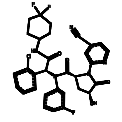 N#Cc1ccnc(N2C(=O)[C@@H](O)C[C@H]2C(=O)N(c2cccc(F)c2)[C@H](C(=O)NC2CCC(F)(F)CC2)c2ccccc2Cl)c1